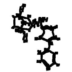 CN1[C@@H]2CC[C@H]1C[C@@H](Nc1nnc(-c3ccccc3)s1)C2